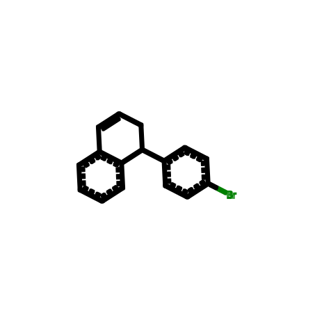 Brc1ccc(C2CC=Cc3ccccc32)cc1